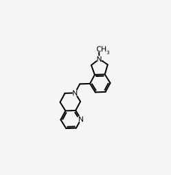 CN1Cc2cccc(CN3CCc4cccnc4C3)c2C1